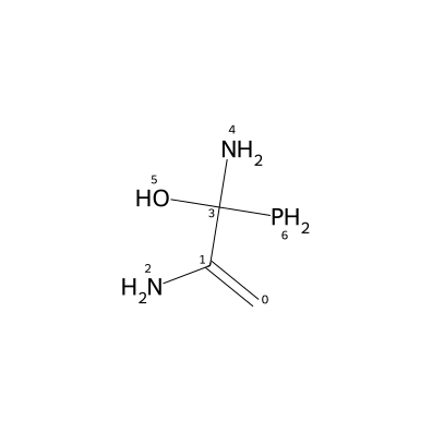 C=C(N)C(N)(O)P